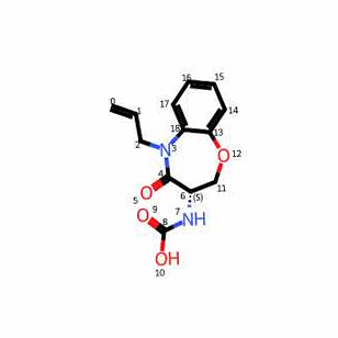 C=CCN1C(=O)[C@@H](NC(=O)O)COc2ccccc21